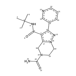 CC(C)(C)NC(=O)c1c(-c2cccnc2)nn2c1CN(C(N)=O)CC2